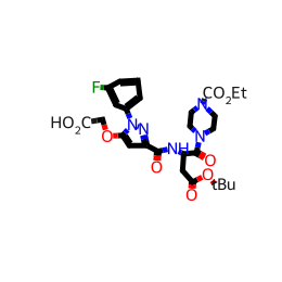 CCOC(=O)N1CCN(C(=O)C(CC(=O)OC(C)(C)C)NC(=O)c2cc(OCC(=O)O)n(-c3cccc(F)c3)n2)CC1